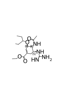 CCOC(=O)C1=C[C@@H](OC(CC)CC)[C@H](NC(C)=O)[C@@H](NC(=N)N)C1